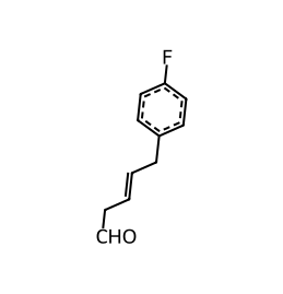 O=CC/C=C/Cc1ccc(F)cc1